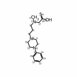 CN(CCCN1CCN(c2ccccc2)CC1)CC(O)=S